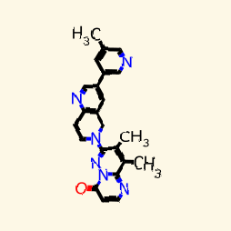 Cc1cncc(-c2cnc3c(c2)CN(c2nn4c(=O)ccnc4c(C)c2C)CC3)c1